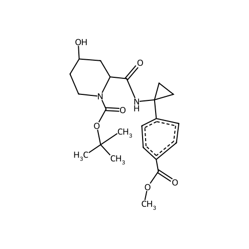 COC(=O)c1ccc(C2(NC(=O)C3CC(O)CCN3C(=O)OC(C)(C)C)CC2)cc1